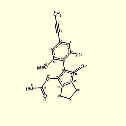 CC#Cc1cc(Cl)c(-c2c(OC(=O)C(C)(C)C)n3n(c2=O)CCC3)c(OC)c1